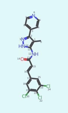 Cc1c(-c2ccncc2)n[nH]c1NC(=O)C=Cc1cc(Cl)c(Cl)c(Cl)c1